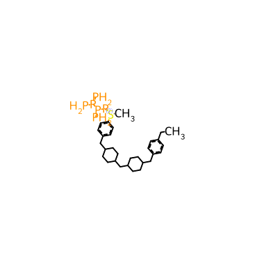 CCc1ccc(CC2CCC(CC3CCC(Cc4ccc(/S(C)=P\P(P)P(P)P)cc4)CC3)CC2)cc1